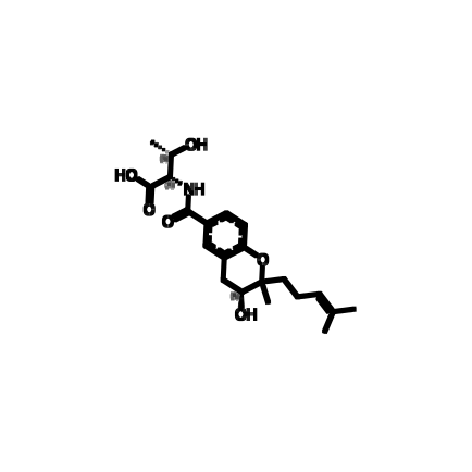 CC(C)=CCCC1(C)Oc2ccc(C(=O)N[C@H](C(=O)O)[C@H](C)O)cc2C[C@@H]1O